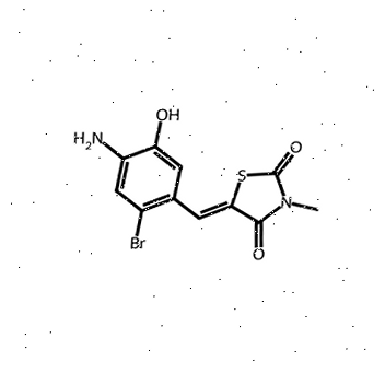 CN1C(=O)S/C(=C\c2cc(O)c(N)cc2Br)C1=O